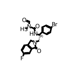 O=CN(S)C(=O)N[C@@H](CN1Cc2ccc(F)cc2C1=O)c1ccc(Br)cc1